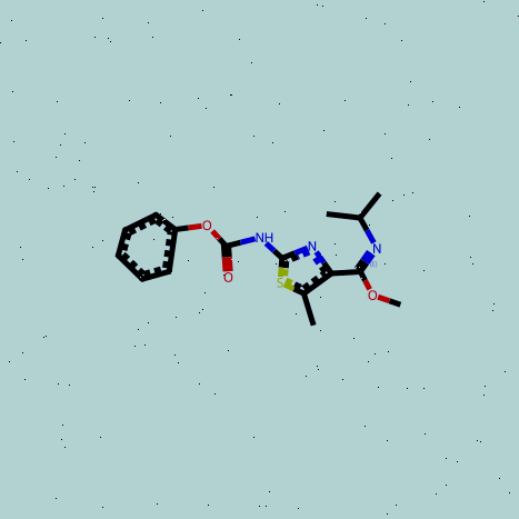 CO/C(=N/C(C)C)c1nc(NC(=O)Oc2ccccc2)sc1C